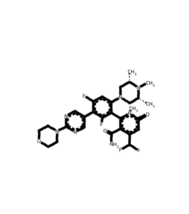 C[C@@H]1CN(c2cc(F)c(-c3cnc(N4CCOCC4)nc3)c(F)c2-c2c(C(N)=O)c(C(F)F)cc(=O)n2C)C[C@H](C)N1C